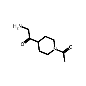 CC(=O)N1CCC(C(=O)CN)CC1